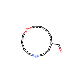 O=Cc1ccccoccccncc1